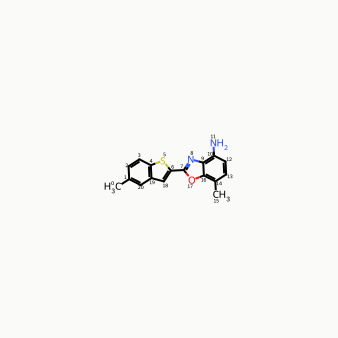 Cc1ccc2sc(-c3nc4c(N)ccc(C)c4o3)cc2c1